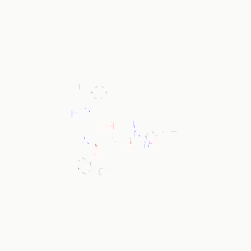 CCc1cccc(CN(C[C@@H](O)[C@@H](N)Cc2cc(F)cc(F)c2)C(=O)CSCC(=O)Nc2cc(C)on2)c1